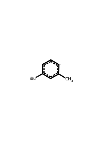 CCC(C)c1cc[c]c(C)c1